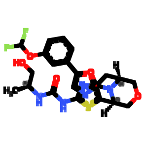 C[C@@H](CO)NC(=O)Nc1nc2c(s1)[C@@H]1COC[C@H](C2)N1c1ncc(-c2cccc(OC(F)F)c2)o1